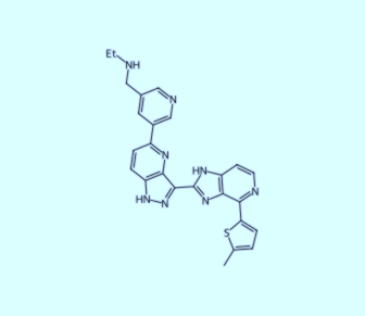 CCNCc1cncc(-c2ccc3[nH]nc(-c4nc5c(-c6ccc(C)s6)nccc5[nH]4)c3n2)c1